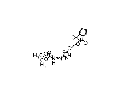 CC(C)(C)OC(=O)NC=Nc1nnc(OCCON2C(=O)c3ccccc3C2=O)s1